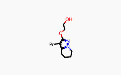 CC(C)c1c(OCCO)nn2c1CCCC2